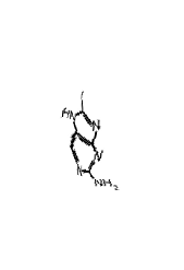 Nc1ncc2[nH]c(I)nc2n1